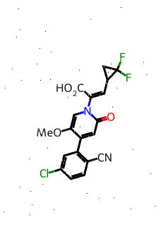 COc1cn(C(=CC2CC2(F)F)C(=O)O)c(=O)cc1-c1cc(Cl)ccc1C#N